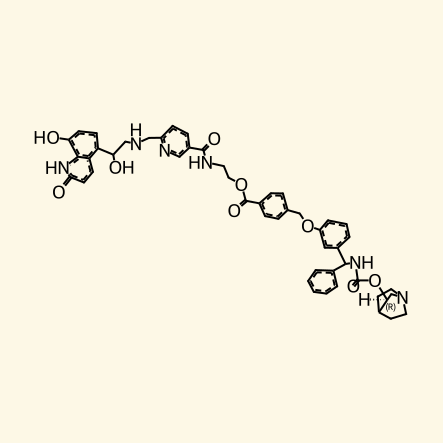 O=C(NC(c1ccccc1)c1cccc(OCc2ccc(C(=O)OCCNC(=O)c3ccc(CNCC(O)c4ccc(O)c5[nH]c(=O)ccc45)nc3)cc2)c1)O[C@H]1CN2CCC1CC2